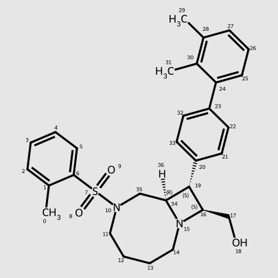 Cc1ccccc1S(=O)(=O)N1CCCCN2[C@H](CO)[C@@H](c3ccc(-c4cccc(C)c4C)cc3)[C@@H]2C1